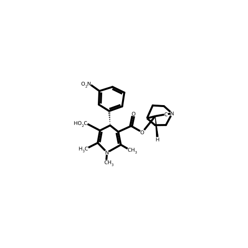 CC1=C(C(=O)O)[C@H](c2cccc([N+](=O)[O-])c2)C(C(=O)O[C@H]2CN3CCC2CC3)=C(C)N1C